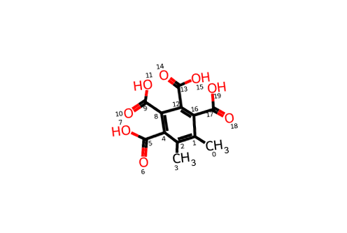 Cc1c(C)c(C(=O)O)c(C(=O)O)c(C(=O)O)c1C(=O)O